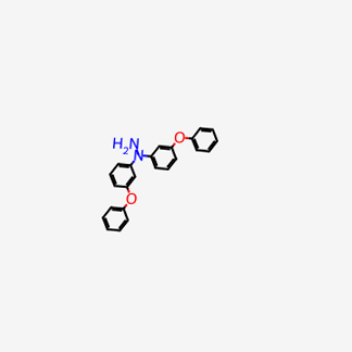 NN(c1cccc(Oc2ccccc2)c1)c1cccc(Oc2ccccc2)c1